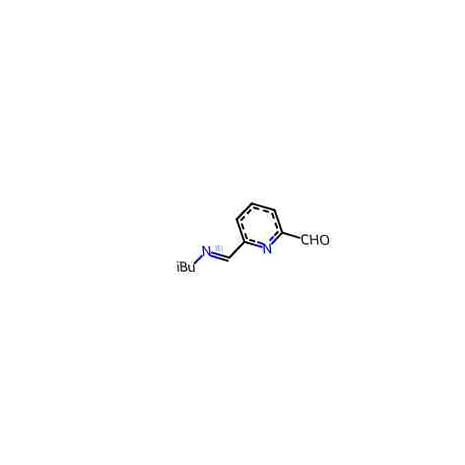 CCC(C)/N=C/c1cccc(C=O)n1